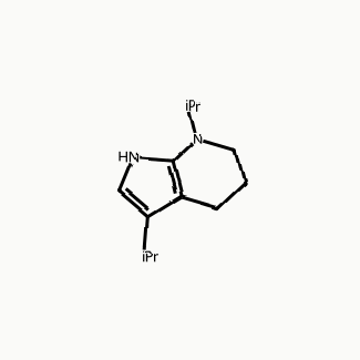 CC(C)c1c[nH]c2c1CCCN2C(C)C